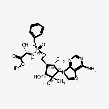 CC(C)OC(=O)[C@H](C)N[P@](=O)(OC[C@H]1[C@H](C)[C@@H](n2cnc3c(N)ncnc32)[C@](C)(O)[C@@H]1O)Oc1ccccc1